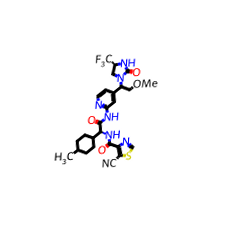 COCC(c1ccnc(NC(=O)[C@@H](NC(=O)c2ncsc2C#N)C2CCC(C)CC2)c1)N1C[C@@H](C(F)(F)F)NC1=O